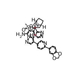 CS(=O)(=O)c1c([C@H]2C[C@H]3CC[C@@H](C2)N3C(=O)c2nnc[nH]2)nc2c(-c3ccc(-c4ccc5c(c4)OCO5)nc3)cnn2c1N